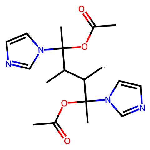 [CH2]C(C(C)C(C)(OC(C)=O)n1ccnc1)C(C)(OC(C)=O)n1ccnc1